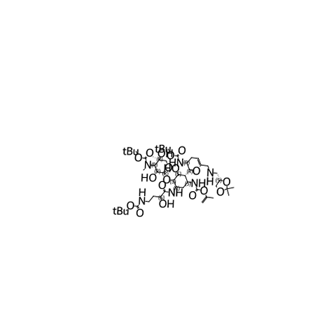 C=C(C)OC(=O)N[C@H]1C[C@@H](NC(=O)[C@@H](O)CCNC(=O)OC(C)(C)C)[C@H](O[C@H]2OC[C@](C)(O)[C@H](N(C)C(=O)OC(C)(C)C)[C@H]2O)[C@@H](O)C1[C@H]1OC(CNC[C@H]2COC(C)(C)O2)=CC[C@H]1NC(=O)OC(C)(C)C